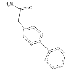 NC(=O)Cc1ccc(-c2ccccc2)nc1